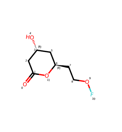 O=C1C[C@H](O)C[C@@H](CCOF)O1